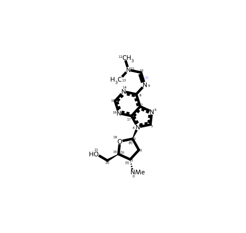 CN[C@H]1C[C@H](n2cnc3c(/N=C\N(C)C)ncnc32)O[C@@H]1CO